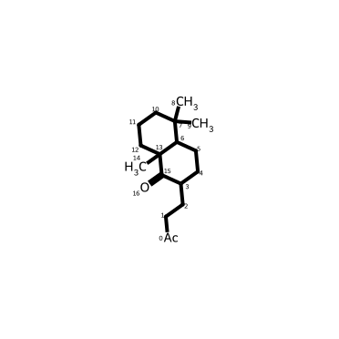 CC(=O)CCC1CCC2C(C)(C)CCCC2(C)C1=O